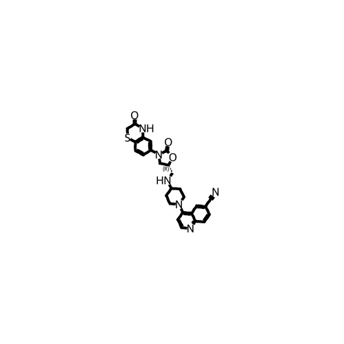 N#Cc1ccc2nccc(N3CCC(NC[C@@H]4CN(c5ccc6c(c5)NC(=O)CS6)C(=O)O4)CC3)c2c1